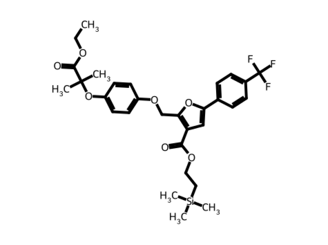 CCOC(=O)C(C)(C)Oc1ccc(OCc2oc(-c3ccc(C(F)(F)F)cc3)cc2C(=O)OCC[Si](C)(C)C)cc1